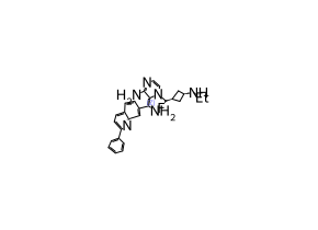 CCN[C@H]1C[C@@H](C(F)N2C=CN=C(N)/C2=C(/N)c2ccc3ccc(-c4ccccc4)nc3c2)C1